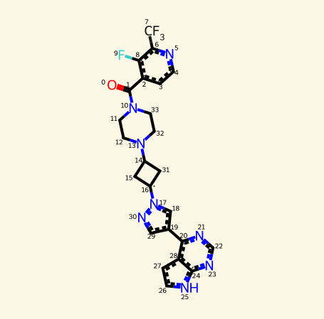 O=C(c1ccnc(C(F)(F)F)c1F)N1CCN(C2C[C](n3cc(-c4ncnc5[nH]ccc45)cn3)C2)CC1